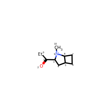 CCC(=O)C1CC2CCC2N1C